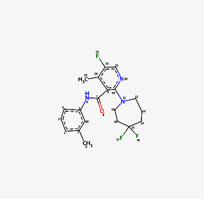 Cc1cccc(NC(=O)c2c(N3CCCC(F)(F)CC3)ncc(F)c2C)c1